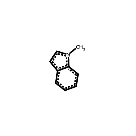 Cn1ccc2cc[c]cc21